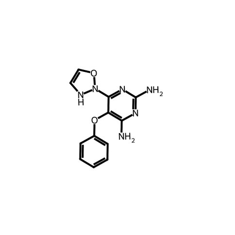 Nc1nc(N)c(Oc2ccccc2)c(N2NC=CO2)n1